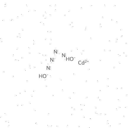 [Cd+2].[N].[N].[N].[N].[OH-].[OH-]